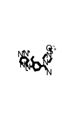 CCc1cc(C(C#N)N2CCN([S+](C)[O-])CC2)ccc1N(C)c1cc2c(cn1)ncn2C